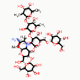 CO[C@@H]1OC(CO)[C@H](O[C@H]2OC(CO)[C@@H](O)[C@H](O)C2O)[C@H](O[C@@H]2OC(CO[C@H]3OC(CO)[C@@H](O)[C@H](O)C3O)[C@@H](O)[C@H](O[C@@H]3OC(C)[C@H](O)[C@H](O[C@@H]4OC(C)[C@H](O)[C@H](O)C4C)C3O)C2O)C1NC(C)C(N)=O